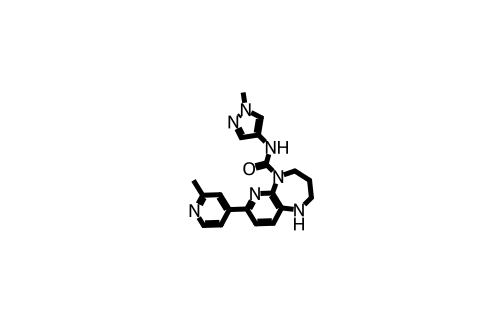 Cc1cc(-c2ccc3c(n2)N(C(=O)Nc2cnn(C)c2)CCCN3)ccn1